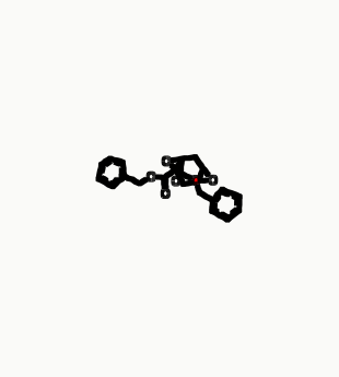 O=C(OCc1ccccc1)C12CC3OC3CC1(C(=O)OCc1ccccc1)O2